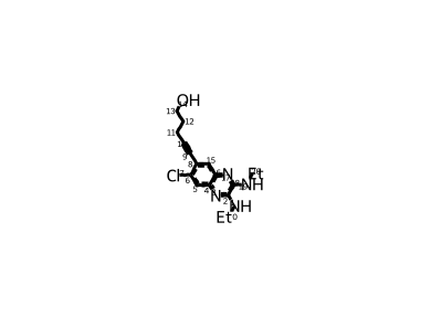 CCNc1nc2cc(Cl)c(C#CCCCO)cc2nc1NCC